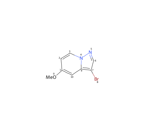 COc1ccn2ncc(Br)c2c1